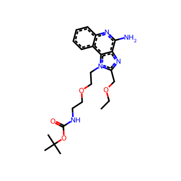 CCOCc1nc2c(N)nc3ccccc3c2n1CCOCCNC(=O)OC(C)(C)C